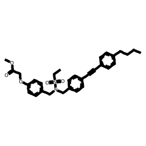 CCCCc1ccc(C#Cc2ccc(CN(Cc3ccc(OCC(=O)OC)cc3)S(=O)(=O)CC)cc2)cc1